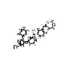 CCn1cc(-c2ccnc(Nc3cccc(CN4CCOCC4)c3)n2)c(-c2cccnc2)n1